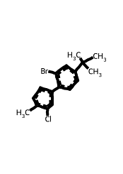 Cc1ccc(-c2ccc(C(C)(C)C)cc2Br)cc1Cl